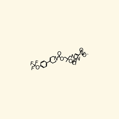 CC(O)(COC(=O)N1CC=C(c2ccc(OC(F)(F)F)cc2)CC1)Cn1cc([N+](=O)[O-])nc1Cl